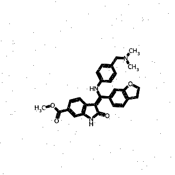 COC(=O)c1ccc2c(c1)NC(=O)C2=C(Nc1ccc(CN(C)C)cc1)c1ccc2c(c1)OCC2